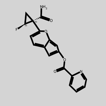 NC(=O)[C@@]1(c2ccc3cc(OC(=O)c4ccccn4)cc-3o2)C[C@@H]1F